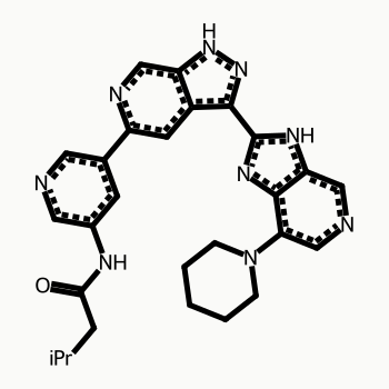 CC(C)CC(=O)Nc1cncc(-c2cc3c(-c4nc5c(N6CCCCC6)cncc5[nH]4)n[nH]c3cn2)c1